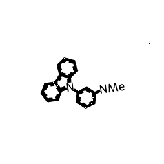 CNc1cccc(-n2c3ccccc3c3ccccc32)c1